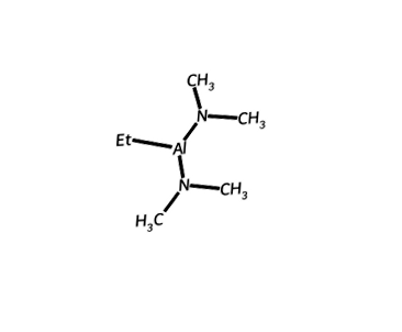 C[CH2][Al]([N](C)C)[N](C)C